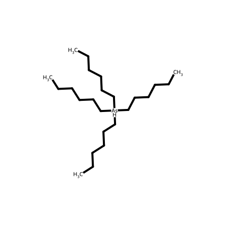 CCCCCC[AsH](CCCCCC)(CCCCCC)CCCCCC